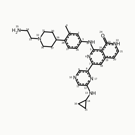 Cc1cc(Nc2nc(-c3cncc(NC4CC4)n3)cc3cc[nH]c(=O)c23)ccc1C1CCN(CCN)CC1